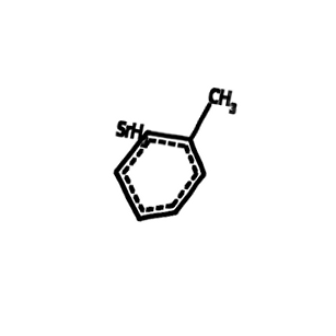 Cc1ccccc1.[SrH2]